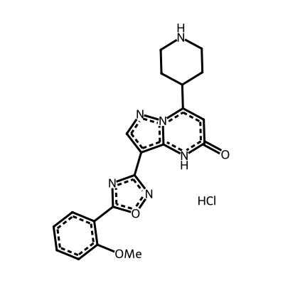 COc1ccccc1-c1nc(-c2cnn3c(C4CCNCC4)cc(=O)[nH]c23)no1.Cl